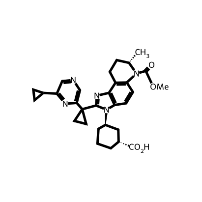 COC(=O)N1c2ccc3c(nc(C4(c5cncc(C6CC6)n5)CC4)n3[C@@H]3CCC[C@@H](C(=O)O)C3)c2CC[C@@H]1C